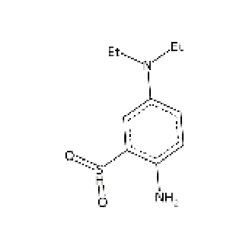 CCN(CC)c1ccc(N)c([SH](=O)=O)c1